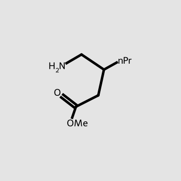 CCCC(CN)CC(=O)OC